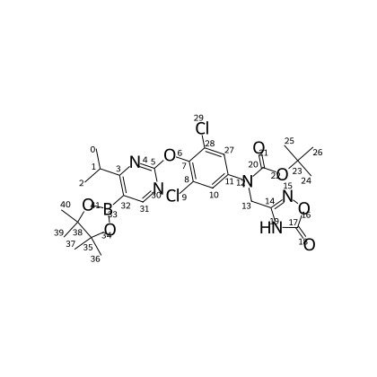 CC(C)c1nc(Oc2c(Cl)cc(N(Cc3noc(=O)[nH]3)C(=O)OC(C)(C)C)cc2Cl)ncc1B1OC(C)(C)C(C)(C)O1